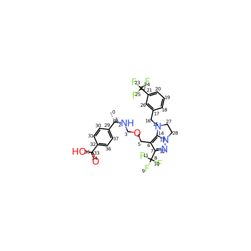 C[C@H](NCOCc1c(C(F)(F)F)nn2c1N(Cc1cccc(C(F)(F)F)c1)CC2)c1ccc(C(=O)O)cc1